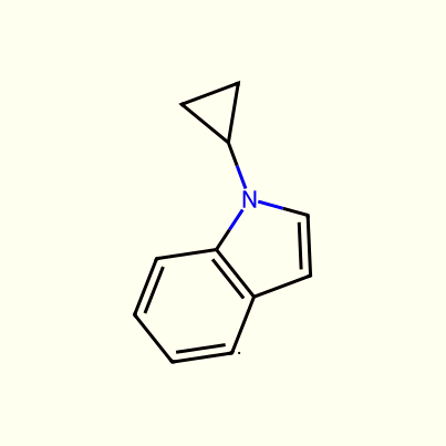 [c]1cccc2c1ccn2C1CC1